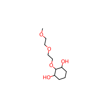 COCCOCCOC1C(O)CCCC1O